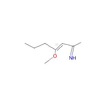 CCC/C(=C/C(C)=N)OC